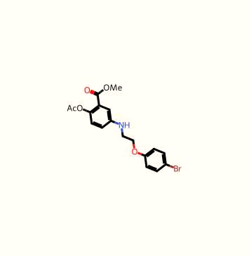 COC(=O)c1cc(NCCOc2ccc(Br)cc2)ccc1OC(C)=O